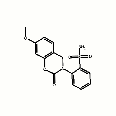 COc1ccc2c(c1)OC(=O)N(c1ccccc1S(N)(=O)=O)C2